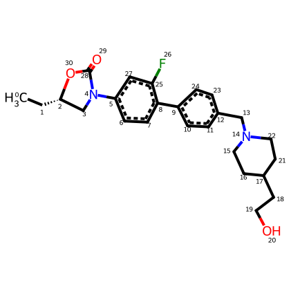 CC[C@H]1CN(c2ccc(-c3ccc(CN4CCC(CCO)CC4)cc3)c(F)c2)C(=O)O1